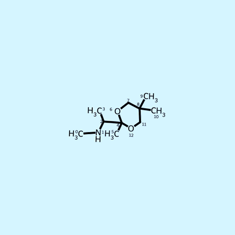 CNC(C)C1(C)OCC(C)(C)CO1